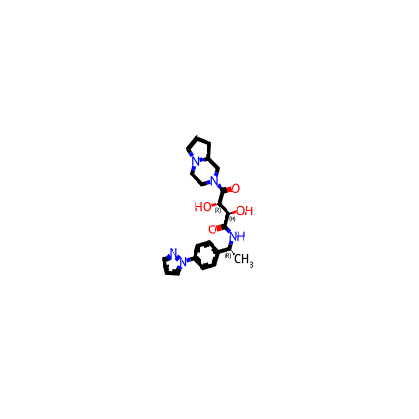 C[C@@H](NC(=O)[C@H](O)[C@@H](O)C(=O)N1CCN2CCCC2C1)c1ccc(-n2cccn2)cc1